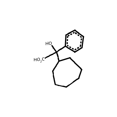 O=C(O)C(O)(c1ccccc1)C1CCCCCC1